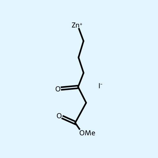 COC(=O)CC(=O)CC[CH2][Zn+].[I-]